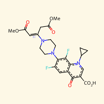 COC(=O)/C=C(\CC(=O)OC)N1CCN(c2c(F)cc3c(=O)c(C(=O)O)cn(C4CC4)c3c2F)CC1